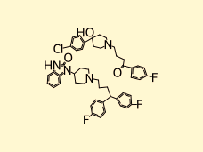 O=C(CCCN1CCC(O)(c2ccc(Cl)cc2)CC1)c1ccc(F)cc1.O=c1[nH]c2ccccc2n1C1CCN(CCCC(c2ccc(F)cc2)c2ccc(F)cc2)CC1